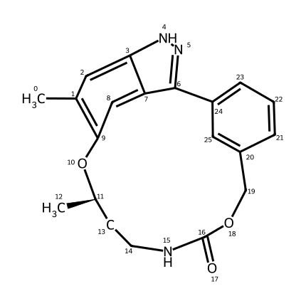 Cc1cc2[nH]nc3c2cc1O[C@H](C)CCNC(=O)OCc1cccc-3c1